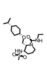 CCNC(=O)N1CCC[C@H](NS(C)(=O)=O)[C@@H]1CO[C@H]1CC[C@@H](C(C)C)CC1